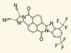 N#Cc1nc2c3ccc4c(=O)n5c6cc(C(F)(F)F)cc(C(F)(F)F)c6nc5c5ccc(c(=O)n2c1C#N)c3c45